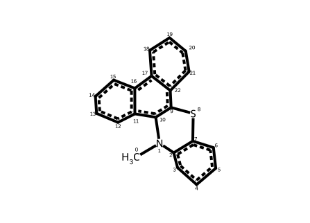 CN1c2ccccc2Sc2c1c1ccccc1c1ccccc21